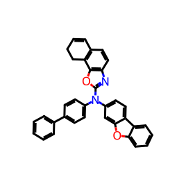 C1=Cc2ccc3nc(N(c4ccc(-c5ccccc5)cc4)c4ccc5c(c4)oc4ccccc45)oc3c2CC1